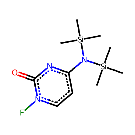 C[Si](C)(C)N(c1ccn(F)c(=O)n1)[Si](C)(C)C